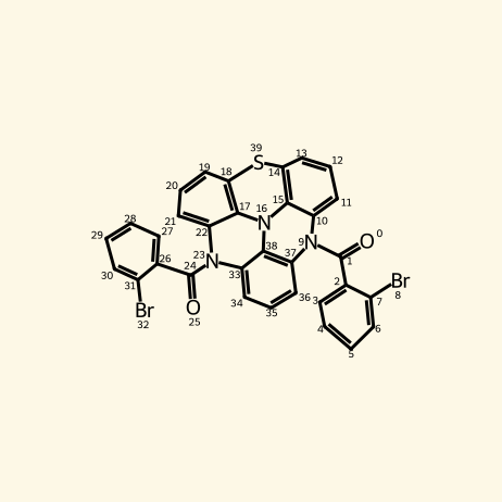 O=C(c1ccccc1Br)N1c2cccc3c2N2c4c(cccc4N(C(=O)c4ccccc4Br)c4cccc1c42)S3